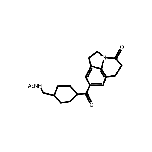 CC(=O)NCC1CCC(C(=O)c2cc3c4c(c2)CCN4C(=O)CC3)CC1